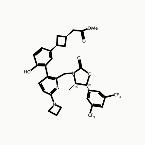 COC(=O)C[C@H]1C[C@@H](c2ccc(O)c(-c3ccc(N4CCC4)nc3CN3C(=O)O[C@H](c4cc(C(F)(F)F)cc(C(F)(F)F)c4)[C@@H]3C)c2)C1